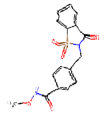 CONC(=O)c1ccc(CN2C(=O)c3ccccc3S2(=O)=O)cc1